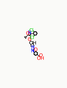 O=C(O)c1ccc2nc(N3CC4C[C@H](OCc5c(-c6c(Cl)cccc6Cl)noc5C5CC5)C[C@H]4C3)oc2c1